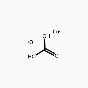 O=C(O)O.[Cu].[O]